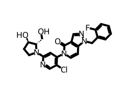 O=c1c2cnn(Cc3ccccc3F)c2ccn1-c1cc(N2CC[C@@H](O)[C@@H]2CO)ncc1Cl